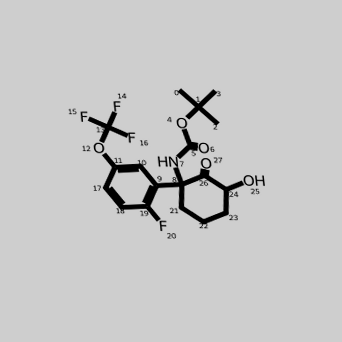 CC(C)(C)OC(=O)NC1(c2cc(OC(F)(F)F)ccc2F)CCCC(O)C1=O